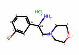 Cl.N[C@@H](CN1CCOCC1)c1cccc(Br)c1